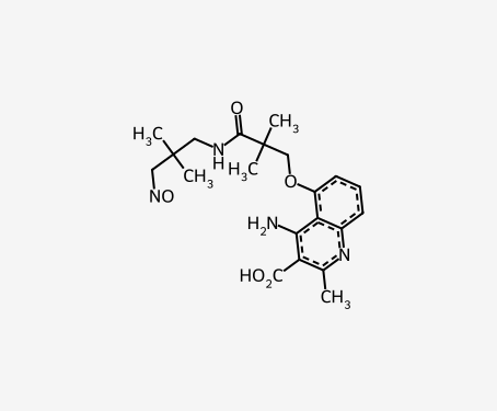 Cc1nc2cccc(OCC(C)(C)C(=O)NCC(C)(C)CN=O)c2c(N)c1C(=O)O